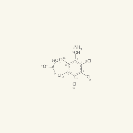 CC(=O)O.N.Oc1c(Cl)c(Cl)c(Cl)c(Cl)c1Cl